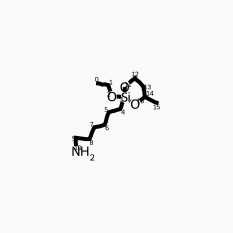 CCO[Si]1(CCCCCCN)OCCC(C)O1